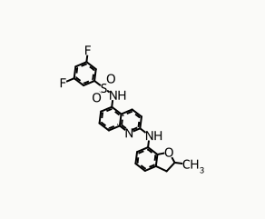 CC1Cc2cccc(Nc3ccc4c(NS(=O)(=O)c5cc(F)cc(F)c5)cccc4n3)c2O1